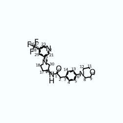 O=C(Cc1ccc(N2CCOCC2)cc1)N[C@@H]1CCN(c2cncc(C(F)(F)F)c2)C1